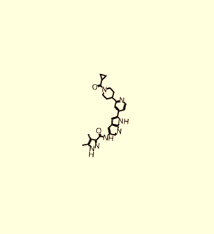 Cc1[nH]nc(C(=O)Nc2cnc3[nH]c(-c4ccnc(C5CCN(C(=O)C6CC6)CC5)c4)cc3c2)c1C